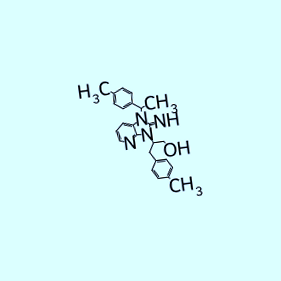 Cc1ccc(CC(CO)n2c(=N)n(C(C)c3ccc(C)cc3)c3cccnc32)cc1